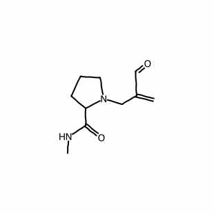 C=C(C=O)CN1CCCC1C(=O)NC